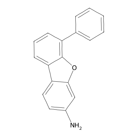 Nc1ccc2c(c1)oc1c(-c3ccccc3)cccc12